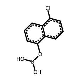 OB(O)Oc1cccc2c(Cl)cccc12